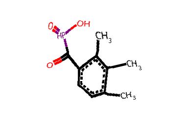 Cc1ccc(C(=O)[PH](=O)O)c(C)c1C